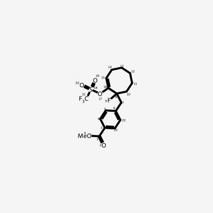 COC(=O)c1ccc(CC2(F)CCCCCC=C2OS(=O)(=O)C(F)(F)F)cc1